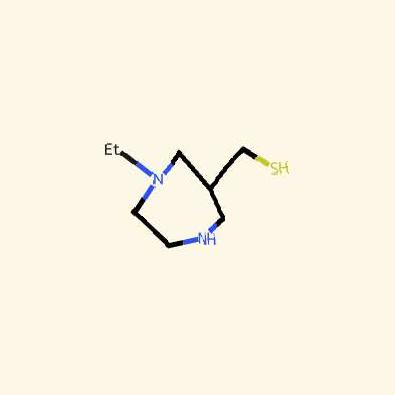 CCN1CCNCC(CS)C1